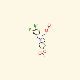 CC(=O)Oc1ccc2c(c1)cc(CCOC=O)n2Cc1ccc(Br)c(F)c1